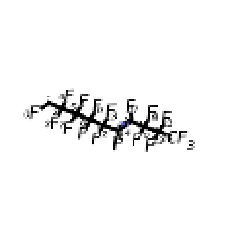 FCC(F)(F)C(F)(F)C(F)(F)C(F)(F)/C(F)=C(\F)C(F)(F)C(F)(F)C(F)(F)F